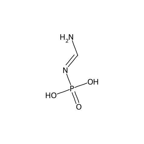 NC=NP(=O)(O)O